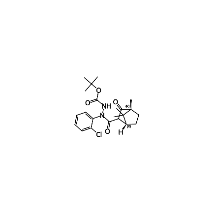 CC(C)(C)OC(=O)NN(C(=O)C1C(=O)[C@]2(C)CC[C@H]1C2(C)C)c1ccccc1Cl